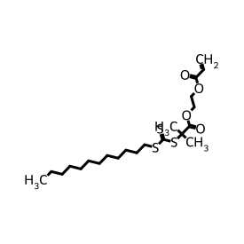 C=CC(=O)OCCOC(=O)C(C)(C)SC(=S)SCCCCCCCCCCCC